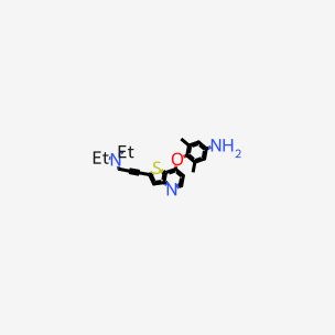 CCN(CC)CC#Cc1cc2nccc(Oc3c(C)cc(N)cc3C)c2s1